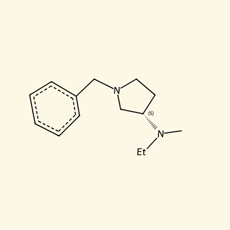 CCN(C)[C@H]1CCN(Cc2ccccc2)C1